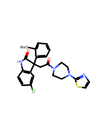 COc1ccccc1C1(CC(=O)N2CCN(c3nccs3)CC2)C(=O)Nc2ccc(Cl)cc21